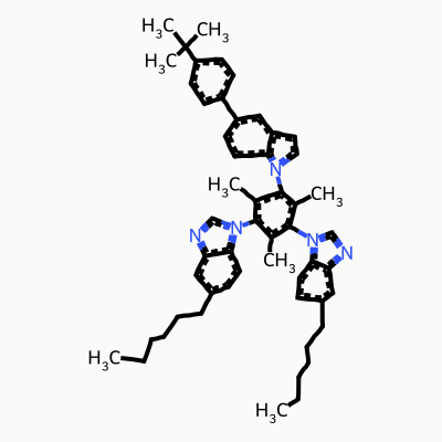 CCCCCCc1ccc2c(c1)ncn2-c1c(C)c(-n2ccc3cc(-c4ccc(C(C)(C)C)cc4)ccc32)c(C)c(-n2cnc3cc(CCCCCC)ccc32)c1C